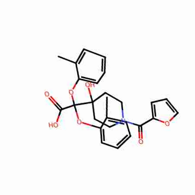 Cc1ccccc1OC(Oc1ccccc1C)(C(=O)O)C1(O)CCN(C(=O)c2ccco2)CC1